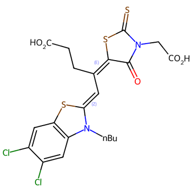 CCCCN1/C(=C/C(CCC(=O)O)=C2/SC(=S)N(CC(=O)O)C2=O)Sc2cc(Cl)c(Cl)cc21